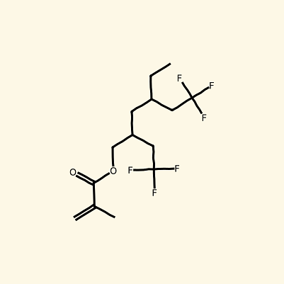 C=C(C)C(=O)OCC(CC(CC)CC(F)(F)F)CC(F)(F)F